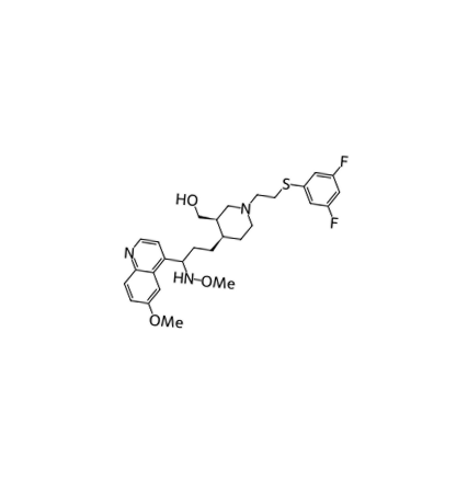 CONC(CC[C@@H]1CCN(CCSc2cc(F)cc(F)c2)C[C@@H]1CO)c1ccnc2ccc(OC)cc12